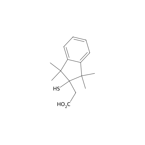 CC1(C)c2ccccc2C(C)(C)C1(S)CC(=O)O